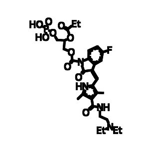 CCC(=O)OC(COC(=O)N1C(=O)/C(=C\c2[nH]c(C)c(C(=O)NCCN(CC)CC)c2C)c2cc(F)ccc21)COP(=O)(O)O